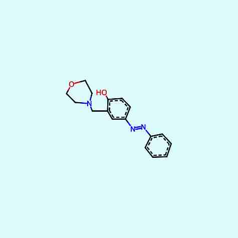 Oc1ccc(/N=N/c2ccccc2)cc1CN1CCOCC1